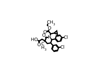 CCOC(=O)C(C1CC1)N1C(=O)[C@@](C)(CC(=O)O)CC(c2cccc(Cl)c2)C1c1ccc(Cl)cc1